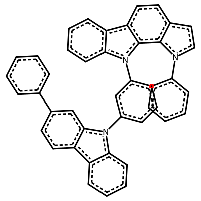 c1ccc(-c2ccc3c4ccccc4n(-c4cccc(-n5c6ccccc6c6ccc7ccn(-c8ccccc8)c7c65)c4)c3c2)cc1